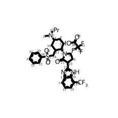 CC(C)N(C)C1CCC(N2CCC(c3nc4cccc(C(F)(F)F)c4[nH]3)C2=O)C(CS(=O)(=O)c2ccccc2)C1.O=C(O)C(F)(F)F